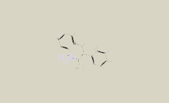 CC(N)C(Cc1ccccc1)c1ccccc1Cl